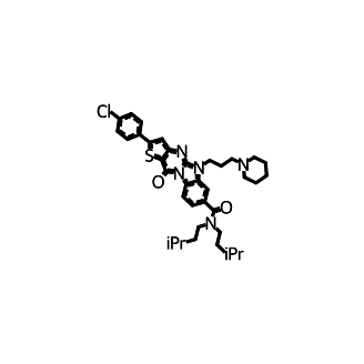 CC(C)CCN(CCC(C)C)C(=O)c1ccc2c(c1)n(CCCN1CCCCC1)c1nc3cc(-c4ccc(Cl)cc4)sc3c(=O)n21